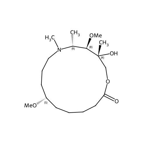 CO[C@H]1CCCCC(=O)OC[C@@](C)(O)[C@H](OC)[C@@H](C)N(C)CCC1